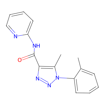 Cc1ccccc1-n1nnc(C(=O)Nc2ccccn2)c1C